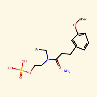 CCCCCCCCCCOc1cccc(CCC(=O)N(CCOP(=O)(O)O)CC(C)C)c1.N